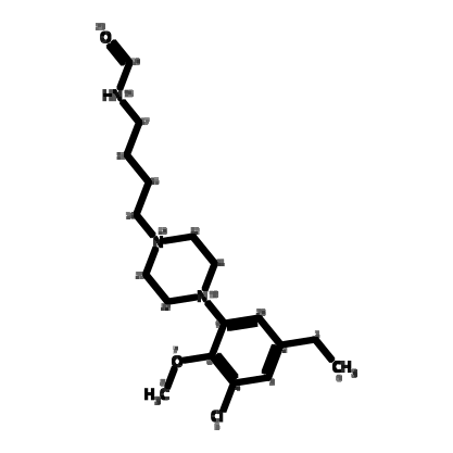 CCc1cc(Cl)c(OC)c(N2CCN(CCCCNC=O)CC2)c1